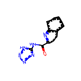 O=C(Nc1nnn[nH]1)c1ccc2ccccc2n1